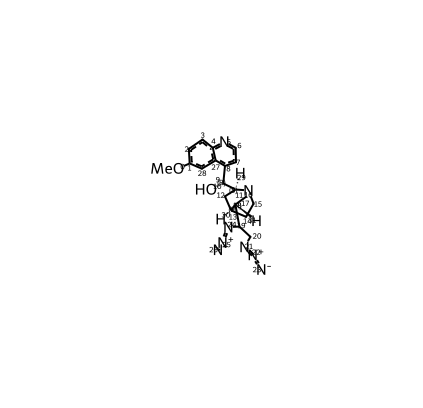 COc1ccc2nccc([C@@H](O)[C@@H]3C[C@@H]4CCN3C[C@@H]4C(CN=[N+]=[N-])N=[N+]=[N-])c2c1